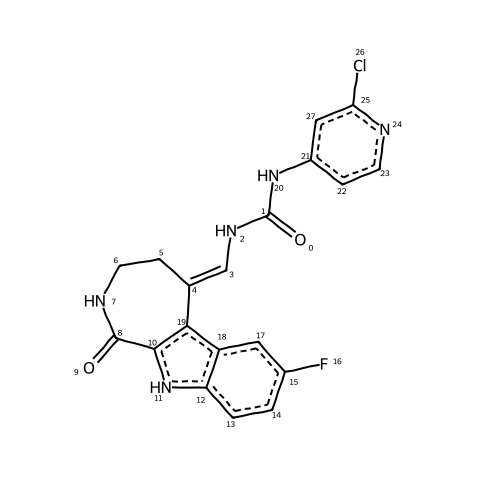 O=C(N/C=C1\CCNC(=O)c2[nH]c3ccc(F)cc3c21)Nc1ccnc(Cl)c1